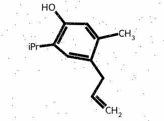 C=CCc1cc(C(C)C)c(O)cc1C